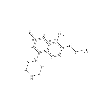 CCOc1ccc2c(N3CCNCC3)cc(=O)oc2c1C